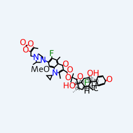 COc1c(N2CCN(Cc3oc(=O)oc3C)C(C)C2)c(F)c(C)c2c(=O)c(C(=O)OC(C)(C)C(=O)[C@@]3(O)[C@@H](C)C[C@H]4[C@@H]5CCC6=CC(=O)C=C[C@]6(C)[C@@]5(F)[C@@H](O)C[C@@]43C)c(C)n(C3CC3)c12